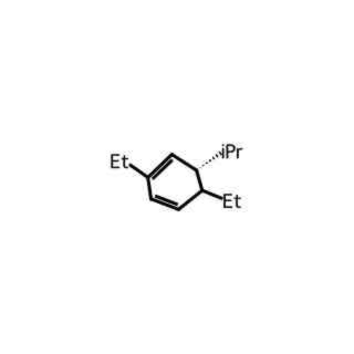 CCC1=C[C@H](C(C)C)C(CC)C=C1